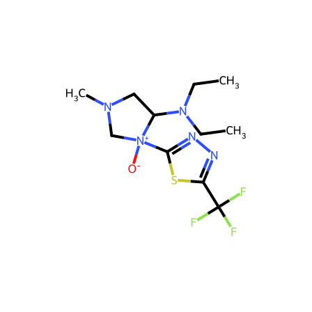 CCN(CC)C1CN(C)C[N+]1([O-])c1nnc(C(F)(F)F)s1